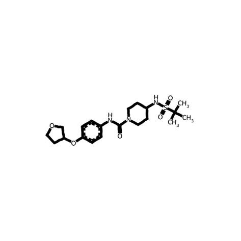 CC(C)(C)S(=O)(=O)NC1CCN(C(=O)Nc2ccc(OC3CCOC3)cc2)CC1